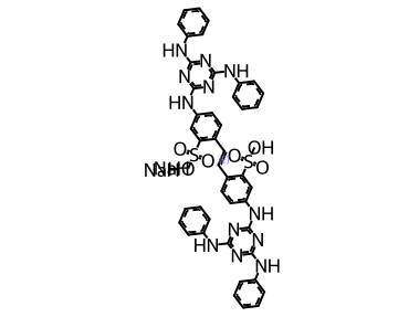 O=S(=O)(O)c1cc(Nc2nc(Nc3ccccc3)nc(Nc3ccccc3)n2)ccc1/C=C/c1ccc(Nc2nc(Nc3ccccc3)nc(Nc3ccccc3)n2)cc1S(=O)(=O)O.[NaH].[NaH]